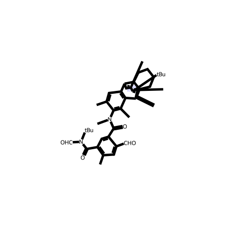 C=C1/C(C)=C(C(C)(C)C)\C(C)=C/C2c3cc(C)c(N(C)C(=O)c4cc(C(=O)N(C=O)C(C)(C)C)c(C)cc4C=O)c(C)c3C1C1CCCCC21